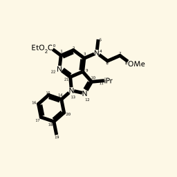 CCOC(=O)c1cc(N(C)CCOC)c2c(C(C)C)nn(-c3cccc(C)c3)c2n1